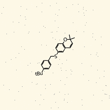 CC1(C)C=Cc2cc(SCc3ccc(C(C)(C)C)cc3)ccc2O1